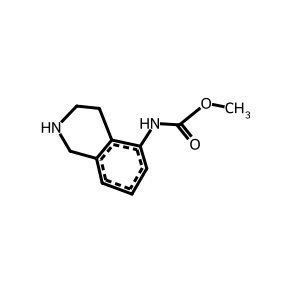 COC(=O)Nc1cccc2c1CCNC2